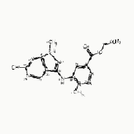 CCOC(=O)c1cnc(C)c(Nc2nn(C)c3nc(Cl)ncc23)c1